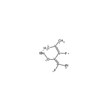 CC(C)=C(F)/C(OC(C)(C)C)=C(/F)C(C)C